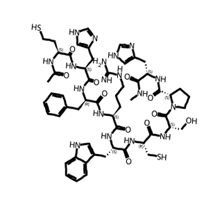 CNC(=O)[C@H](Cc1c[nH]cn1)NC(=O)[C@@H]1CCCN1C(=O)[C@H](CO)NC(=O)[C@H](CS)NC(=O)[C@H](Cc1c[nH]c2ccccc12)NC(=O)[C@H](CCCNC(=N)N)NC(=O)[C@@H](Cc1ccccc1)NC(=O)[C@H](Cc1c[nH]cn1)NC(=O)[C@H](CCS)NC(C)=O